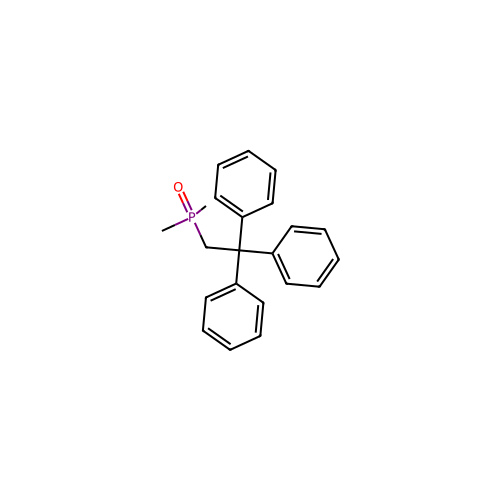 CP(C)(=O)CC(c1ccccc1)(c1ccccc1)c1ccccc1